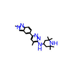 Cc1cc(-c2ccc3nn(C)cc3c2)nnc1NC1CC(C)(C)NC(C)(C)C1